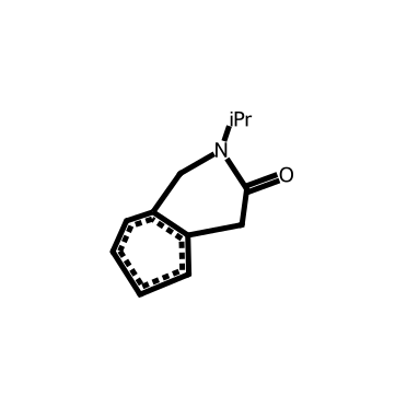 CC(C)N1Cc2ccccc2CC1=O